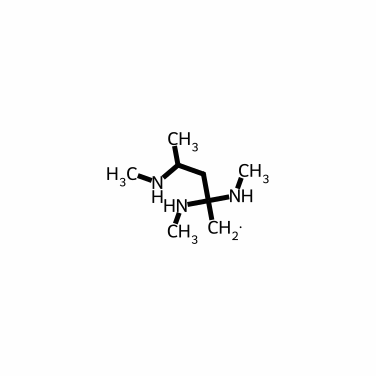 [CH2]C(CC(C)NC)(NC)NC